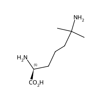 CC(C)(N)CCC[C@H](N)C(=O)O